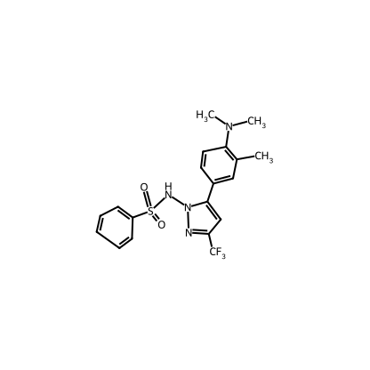 Cc1cc(-c2cc(C(F)(F)F)nn2NS(=O)(=O)c2ccccc2)ccc1N(C)C